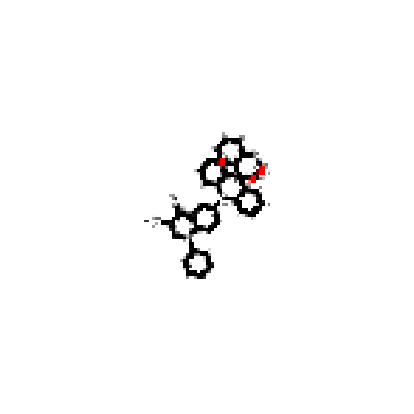 Cc1cn(-c2ccccc2)c2ccc(N3c4ccccc4C4(c5ccccc5Oc5ccccc54)c4ccccc43)cc2c1=O